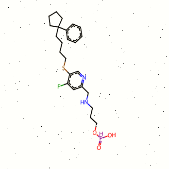 O=[PH](O)OCCCNCc1cc(F)c(SCCCCC2(c3ccccc3)CCCC2)cn1